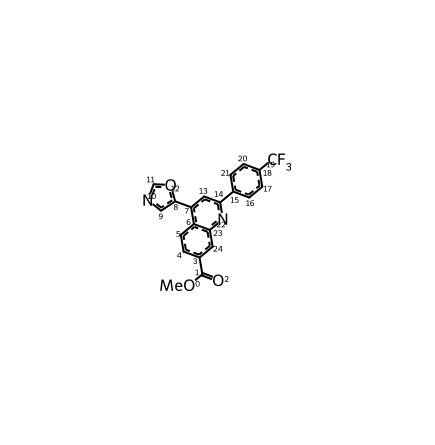 COC(=O)c1ccc2c(-c3cnco3)cc(-c3ccc(C(F)(F)F)cc3)nc2c1